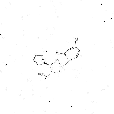 OC[C@H]1CN(Cc2ccc(Cl)cc2Cl)C[C@@H]1c1ccsc1